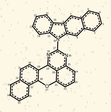 c1ccc2cc3c(cc2c1)c1ccccc1n3-c1nc2c3c(cccc3n1)Oc1c-2ccc2ccccc12